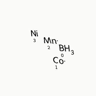 B.[Co].[Mn].[Ni]